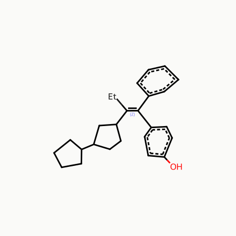 CC/C(=C(\c1ccccc1)c1ccc(O)cc1)C1CCC(C2CCCC2)C1